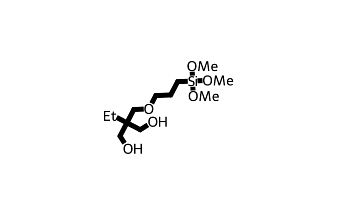 CCC(CO)(CO)COCCC[Si](OC)(OC)OC